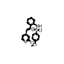 COc1ccc(S(=O)(=O)Nc2ccccc2/C=C/c2ccnc(Cl)c2)cc1